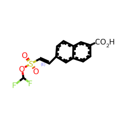 O=C(O)c1ccc2cc(/C=C/S(=O)(=O)OC(F)F)ccc2c1